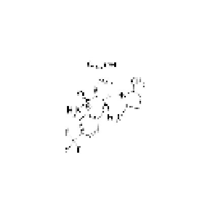 CC1CCC(C)N1c1cc(C(=O)O)cc(S(N)(=O)=O)c1Oc1ccc(C(F)(F)F)cc1